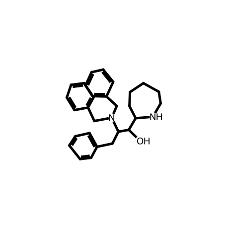 OC(C1CCCCCN1)C(Cc1ccccc1)N(Cc1ccccc1)Cc1ccccc1